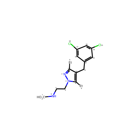 CCc1nn(CCNC(=O)O)c(CC)c1Cc1cc(Cl)cc(Cl)c1